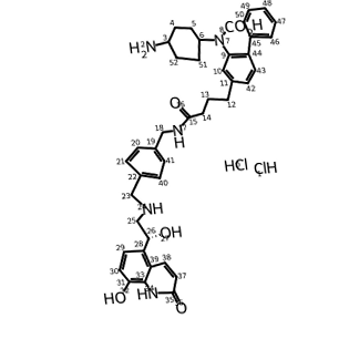 Cl.Cl.NC1CCC(N(C(=O)O)c2cc(CCCC(=O)NCc3ccc(CNC[C@H](O)c4ccc(O)c5[nH]c(=O)ccc45)cc3)ccc2-c2ccccc2)CC1